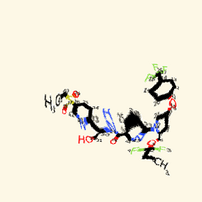 CCC(F)(F)OC[C@@H]1CC(Oc2ccc(C(F)(F)F)cc2)CN1c1ccc(C(=O)N[C@@H](CO)c2ccc(S(=O)(=O)CC)cn2)cn1